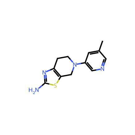 Cc1cncc(N2CCc3nc(N)sc3C2)c1